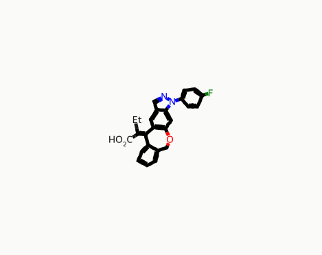 CCC(C(=O)O)=C1c2ccccc2COc2cc3c(cnn3-c3ccc(F)cc3)cc21